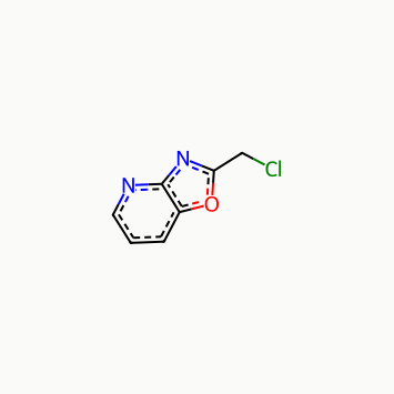 ClCc1nc2ncccc2o1